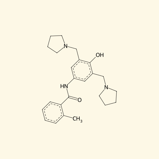 Cc1ccccc1C(=O)Nc1cc(CN2CCCC2)c(O)c(CN2CCCC2)c1